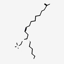 CCCCCC[C@H](C/C=C\CCCCCCCC(=O)O)OC[Si](C)(C)C